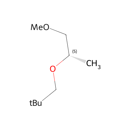 COC[C@H](C)OCC(C)(C)C